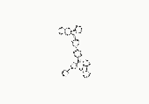 c1ccc(-c2ccc(N(c3ccc(-c4ccc(-n5c6ccccc6c6cc7ccccc7cc65)cc4)cc3)c3cccc4c3oc3ccccc34)cc2)cc1